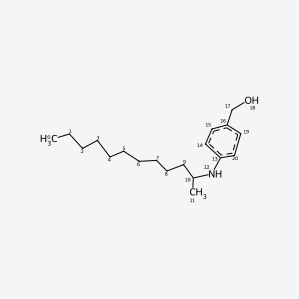 CCCCCCCCCCC(C)Nc1ccc(CO)cc1